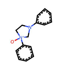 [O-][N+]1(c2ccccc2)CCN(c2ccccc2)C1